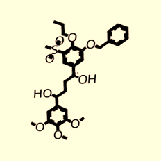 CCCOc1c(OCc2ccccc2)cc([C@@H](O)CCC(O)c2cc(OC)c(OC)c(OC)c2)cc1S(C)(=O)=O